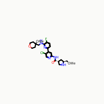 COC[C@@H]1C[C@@H](C(=O)Nc2cc(-c3ccc(F)c(NCC4(OC)CCOCC4)n3)c(Cl)cn2)CN1